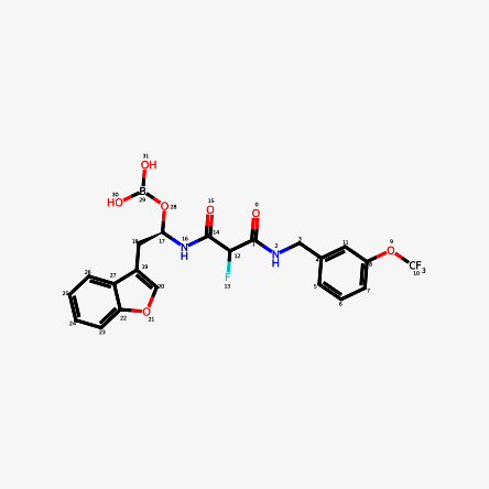 O=C(NCc1cccc(OC(F)(F)F)c1)C(F)C(=O)N[C@@H](Cc1coc2ccccc12)OB(O)O